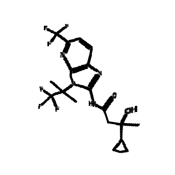 CC(O)(CC(=O)Nc1nc2ccc(C(F)(F)F)nc2n1C(C)(C)C(F)(F)F)C1CC1